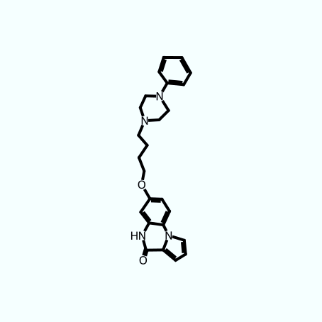 O=c1[nH]c2cc(OCCCCN3CCN(c4ccccc4)CC3)ccc2n2cccc12